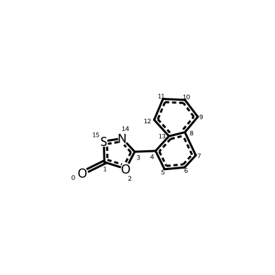 O=c1oc(-c2cccc3ccccc23)ns1